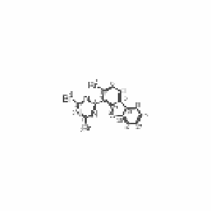 Brc1nc(Br)nc(-c2c(Br)ccc3c2sc2ccccc23)n1